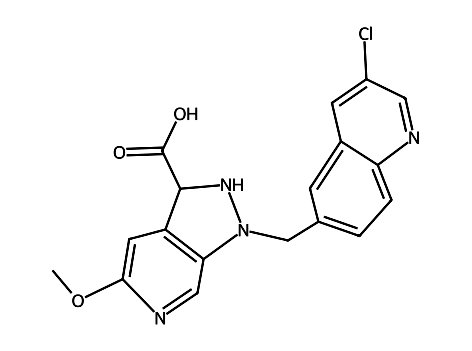 COc1cc2c(cn1)N(Cc1ccc3ncc(Cl)cc3c1)NC2C(=O)O